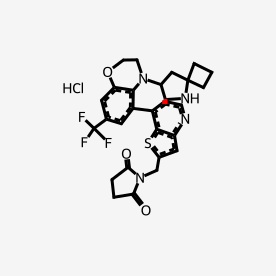 Cl.O=C1CCC(=O)N1Cc1cc2nccc(-c3cc(C(F)(F)F)cc4c3N(C3CNC5(CCC5)C3)CCO4)c2s1